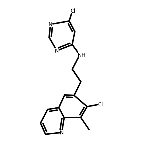 Cc1c(Cl)c(CCNc2cc(Cl)ncn2)cc2cccnc12